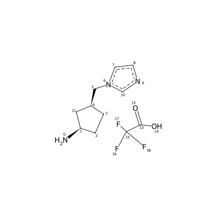 N[C@@H]1CC[C@H](Cn2ccnc2)C1.O=C(O)C(F)(F)F